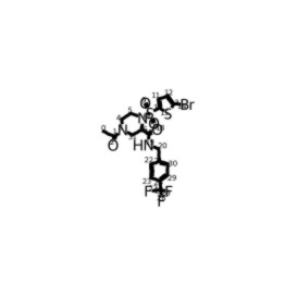 CC(=O)N1CCN(S(=O)(=O)c2ccc(Br)s2)C(C(=O)NCc2ccc(C(F)(F)F)cc2)C1